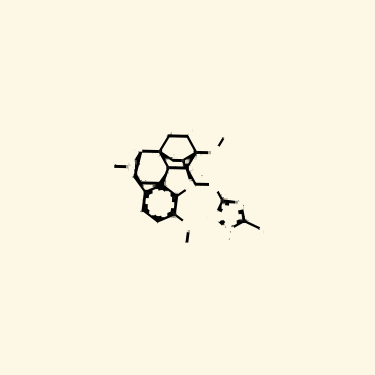 COc1ccc2c3c1OC1C4(OC)CCC5(CC4CSc4nc(C)ns4)C(C2)N(C)CC[C@]315